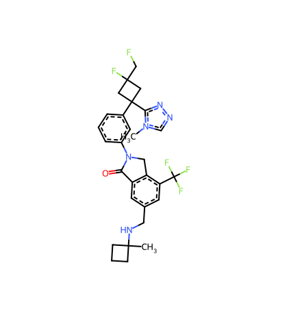 Cn1cnnc1C1(c2cccc(N3Cc4c(cc(CNC5(C)CCC5)cc4C(F)(F)F)C3=O)c2)CC(F)(CF)C1